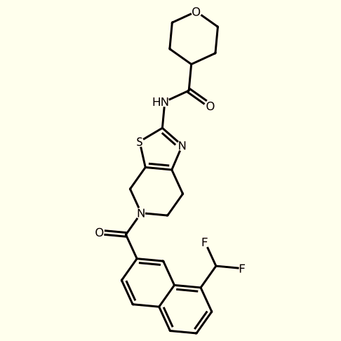 O=C(Nc1nc2c(s1)CN(C(=O)c1ccc3cccc(C(F)F)c3c1)CC2)C1CCOCC1